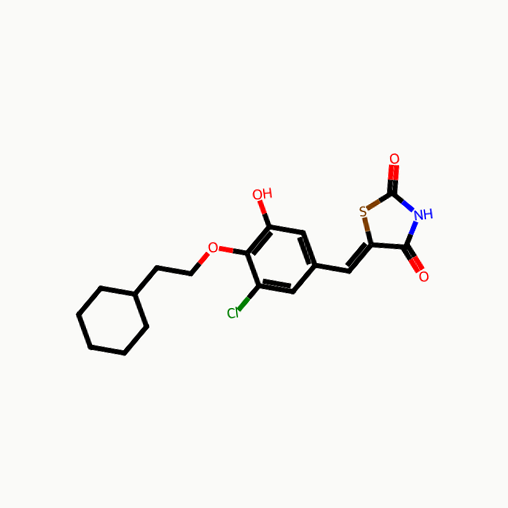 O=C1NC(=O)/C(=C/c2cc(O)c(OCCC3CCCCC3)c(Cl)c2)S1